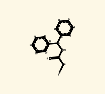 O=C(CF)OC(c1ccccc1)c1ccccc1